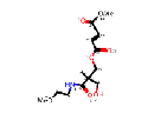 COCCNC(=O)C(C)(CO)COC(=O)/C=C/C(=O)OC